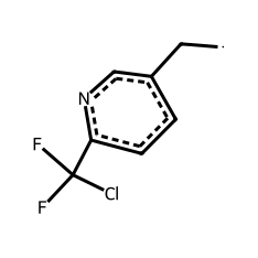 [CH2]Cc1ccc(C(F)(F)Cl)nc1